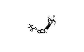 CC(C)(C)C(=O)On1ccc2cnc(-c3cnn(C(F)F)c3)cc21